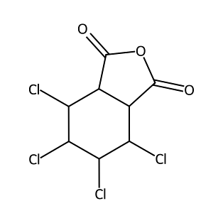 O=C1OC(=O)C2C(Cl)C(Cl)C(Cl)C(Cl)C12